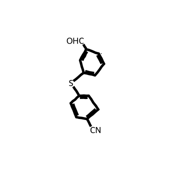 N#Cc1ccc(Sc2cc[c]c(C=O)c2)cc1